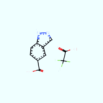 O=C(O)C(F)(F)F.O=C(O)c1ccc2[nH]ncc2c1